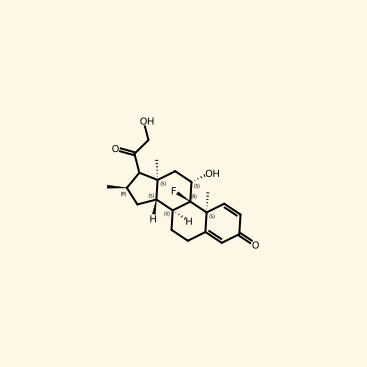 C[C@@H]1C[C@H]2[C@@H]3CCC4=CC(=O)C=C[C@]4(C)[C@@]3(F)[C@@H](O)C[C@]2(C)C1C(=O)CO